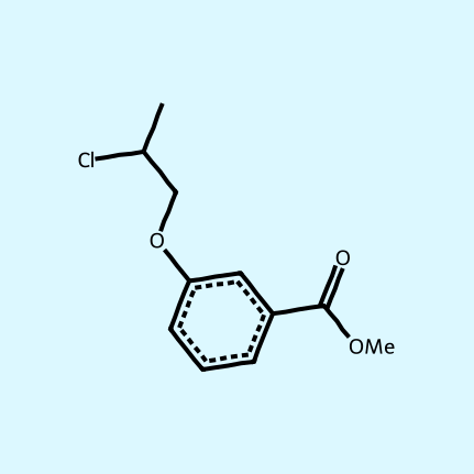 COC(=O)c1cccc(OCC(C)Cl)c1